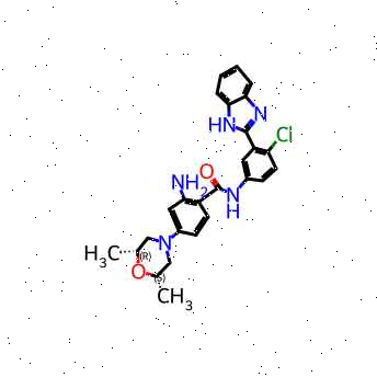 C[C@@H]1CN(c2ccc(C(=O)Nc3ccc(Cl)c(-c4nc5ccccc5[nH]4)c3)c(N)c2)C[C@H](C)O1